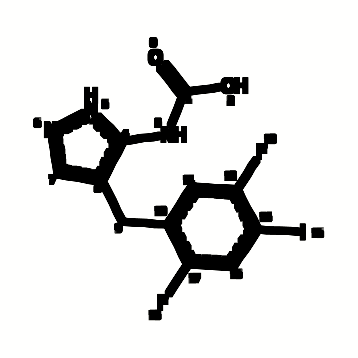 O=C(O)Nc1[nH]ncc1Cc1cc(F)c(I)cc1F